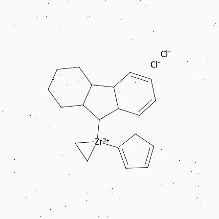 C1=CC[C]([Zr+2]2([CH]3C4C=CC=CC4C4CCCCC43)[CH2][CH2]2)=C1.[Cl-].[Cl-]